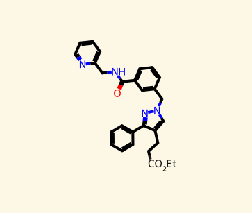 CCOC(=O)CCc1cn(Cc2cccc(C(=O)NCc3ccccn3)c2)nc1-c1ccccc1